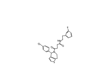 O=C(CCC(=O)N1CCc2sccc2C1c1ccc(Cl)cc1)NCCc1cccc(F)c1